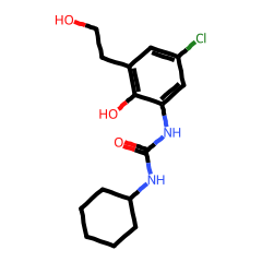 O=C(Nc1cc(Cl)cc(CCO)c1O)NC1CCCCC1